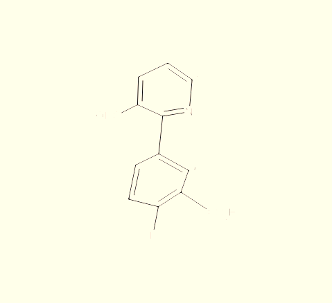 O=Cc1cccnc1-c1ccc(F)c(C(=O)O)c1